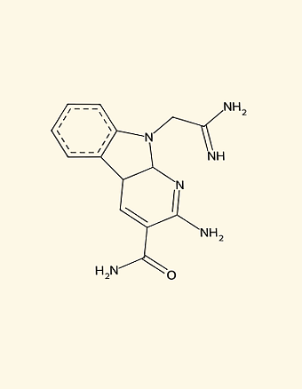 N=C(N)CN1c2ccccc2C2C=C(C(N)=O)C(N)=NC21